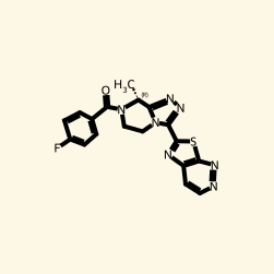 C[C@@H]1c2nnc(-c3nc4ccnnc4s3)n2CCN1C(=O)c1ccc(F)cc1